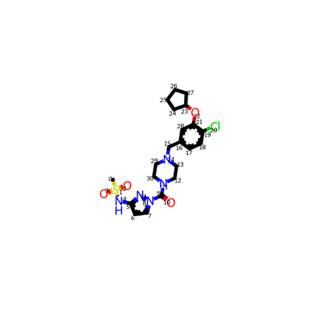 CS(=O)(=O)Nc1ccn(C(=O)N2CCN(Cc3ccc(Cl)c(OC4CCCC4)c3)CC2)n1